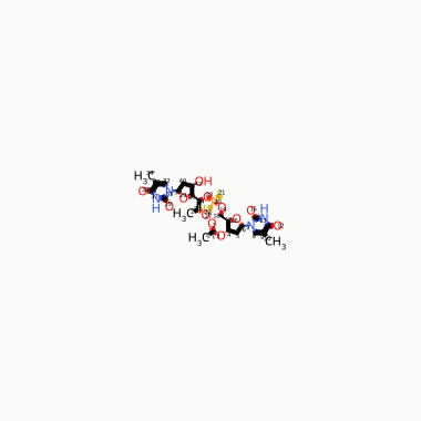 CC(=O)O[C@H]1C[C@H](n2cc(C)c(=O)[nH]c2=O)O[C@@H]1COP(=S)(S)OC(C(C)=O)[C@H]1O[C@@H](n2cc(C)c(=O)[nH]c2=O)C[C@@H]1O